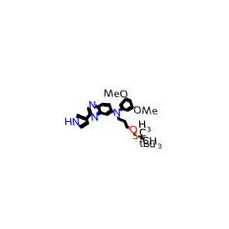 COc1cc(OC)cc(N(CCCOSC(C)(C)C(C)(C)C)c2ccc3ncc(-c4cc[nH]c4)nc3c2)c1